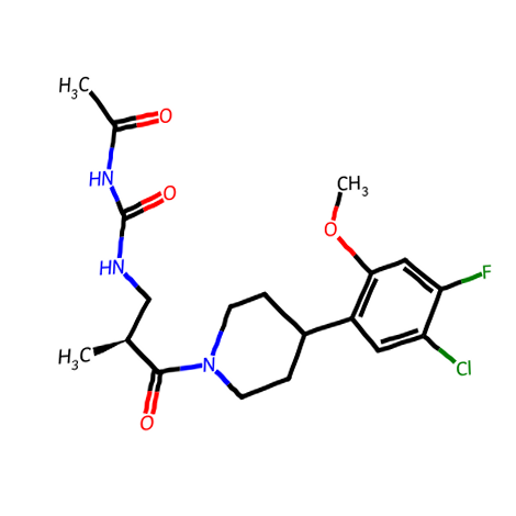 COc1cc(F)c(Cl)cc1C1CCN(C(=O)[C@@H](C)CNC(=O)NC(C)=O)CC1